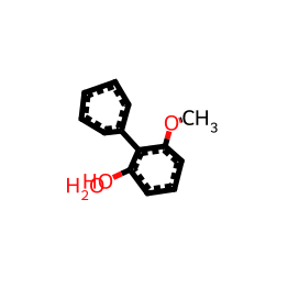 COc1cccc(O)c1-c1ccccc1.O